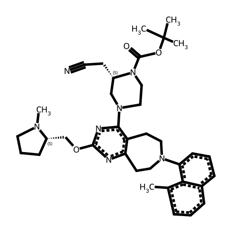 Cc1cccc2cccc(N3CCc4nc(OC[C@@H]5CCCN5C)nc(N5CCN(C(=O)OC(C)(C)C)[C@@H](CC#N)C5)c4CC3)c12